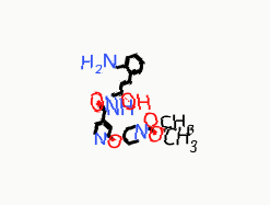 CC(C)OC(=O)N1CCC(Oc2cc(C(=O)NC[C@@H](O)CCc3ccccc3CN)ccn2)CC1